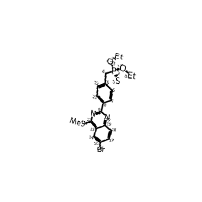 CCOP(=S)(Cc1ccc(-c2nc(SC)c3cc(Br)ccc3n2)cc1)OCC